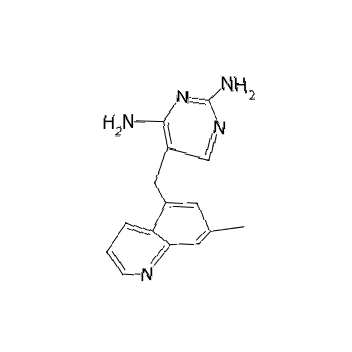 Cc1cc(Cc2cnc(N)nc2N)c2cccnc2c1